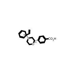 C=C[C@@]1(N2CCO[C@@H](c3ccc(C(=O)O)cc3)C2)C=CC=CC1